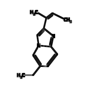 C/C=C(/C)c1cn2cc(CC)ccc2n1